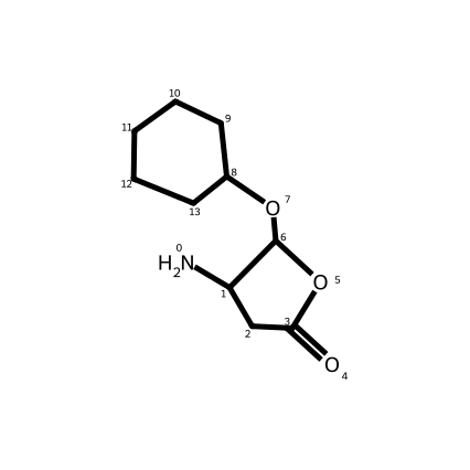 NC1CC(=O)OC1OC1CCCCC1